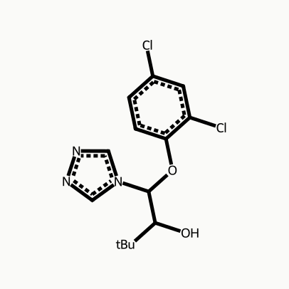 CC(C)(C)C(O)C(Oc1ccc(Cl)cc1Cl)n1cnnc1